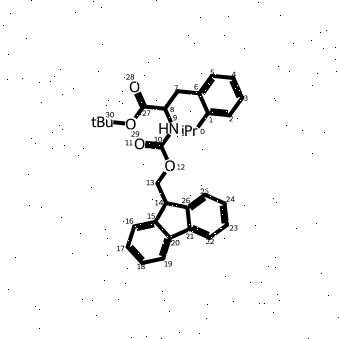 CC(C)c1ccccc1CC(NC(=O)OCC1c2ccccc2-c2ccccc21)C(=O)OC(C)(C)C